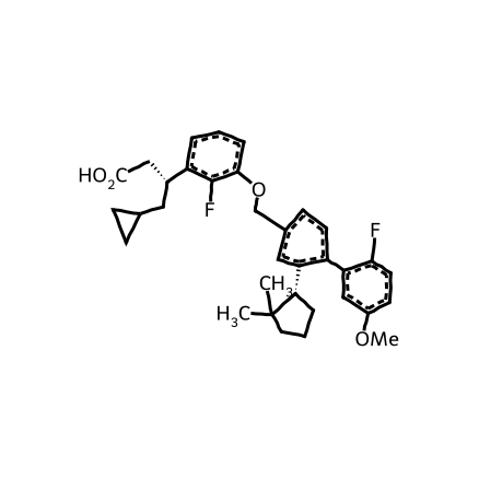 COc1ccc(F)c(-c2ccc(COc3cccc([C@@H](CC(=O)O)CC4CC4)c3F)cc2[C@@H]2CCCC2(C)C)c1